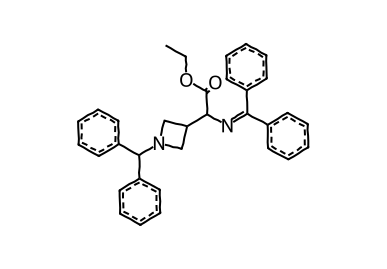 CCOC(=O)C(N=C(c1ccccc1)c1ccccc1)C1CN(C(c2ccccc2)c2ccccc2)C1